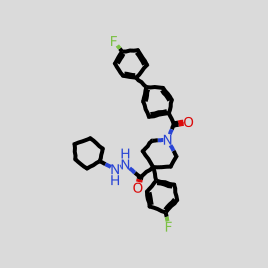 O=C(c1ccc(-c2ccc(F)cc2)cc1)N1CCC(C(=O)NNC2CCCCC2)(c2ccc(F)cc2)CC1